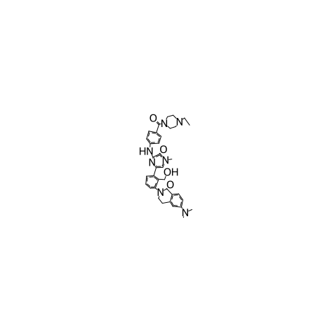 CCN1CCN(C(=O)c2ccc(Nc3nc(-c4cccc(N5CCc6cc(N(C)C)ccc6C5=O)c4CO)cn(C)c3=O)cc2)CC1